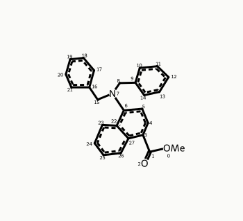 COC(=O)c1ccc(N(Cc2ccccc2)Cc2ccccc2)c2ccccc12